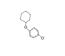 Clc1ccc(OC2CCCCC2)cc1